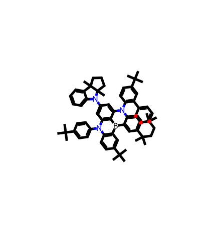 CC(C)(C)c1ccc(N2c3ccc(C(C)(C)C)cc3B3c4cc5c(cc4N(c4ccc(C(C)(C)C)cc4-c4ccccc4)c4cc(N6c7ccccc7C7(C)CCCC67C)cc2c43)C(C)(C)CCC5(C)C)cc1